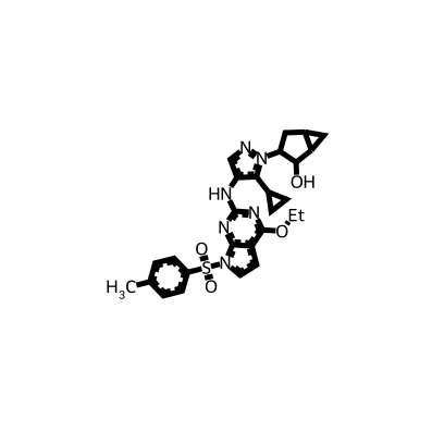 CCOc1nc(Nc2cnn(C3CC4CC4C3O)c2C2CC2)nc2c1ccn2S(=O)(=O)c1ccc(C)cc1